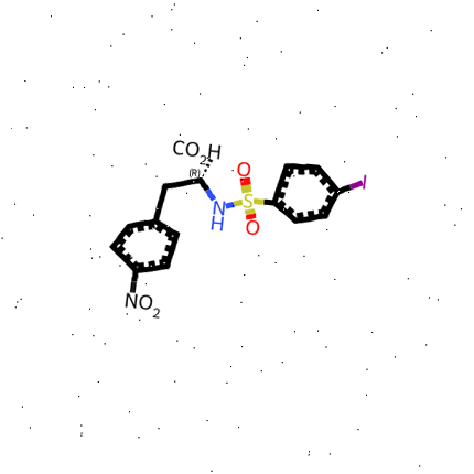 O=C(O)[C@@H](Cc1ccc([N+](=O)[O-])cc1)NS(=O)(=O)c1ccc(I)cc1